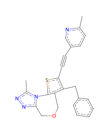 Cc1ccc(C#Cc2sc3c(c2Cc2ccccc2)COCc2nnc(C)n2-3)cn1